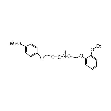 CCOc1ccccc1OCCNCCCOc1ccc(OC)cc1